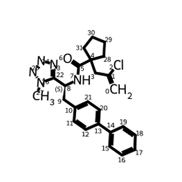 C=C(Cl)CC1(C(=O)N[C@@H](Cc2ccc(-c3ccccc3)cc2)c2nnnn2C)CCCC1